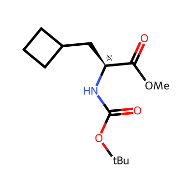 COC(=O)[C@H](CC1CCC1)NC(=O)OC(C)(C)C